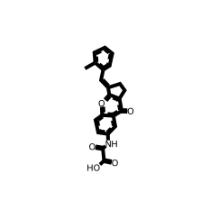 Cc1ccccc1C=C1CCc2c1oc1ccc(NC(=O)C(=O)O)cc1c2=O